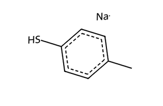 Cc1ccc(S)cc1.[Na]